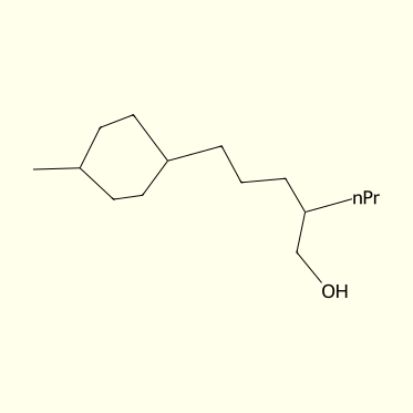 CCCC(CO)CCCC1CCC(C)CC1